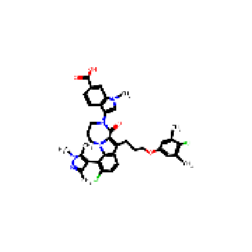 Cc1cc(OCCCc2c3n(c4c(-c5c(C)nn(C)c5C)c(Cl)ccc24)CCCN(c2cn(C)c4cc(C(=O)O)ccc24)C3=O)cc(C)c1Cl